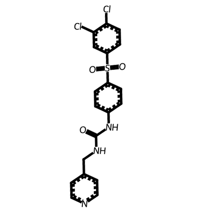 O=C(NCc1ccncc1)Nc1ccc(S(=O)(=O)c2ccc(Cl)c(Cl)c2)cc1